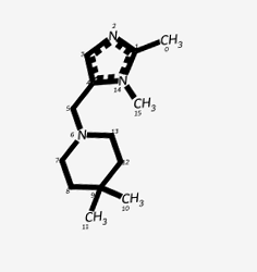 Cc1ncc(CN2CCC(C)(C)CC2)n1C